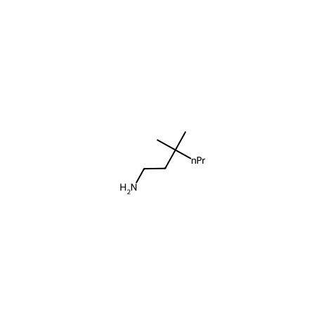 CCCC(C)(C)CCN